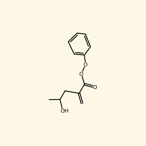 C=C(CC(C)O)C(=O)OOc1ccccc1